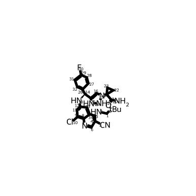 CC(C)(C)CNc1c(C#N)cnc2c(Cl)cc(N[C@H](C3=CN(C4(C(N)=O)CC4)NN3)c3ccc(F)cc3)cc12